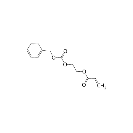 C=CC(=O)OCCOC(=O)OCc1ccccc1